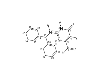 C=C(C)C1=C(C)C(=C)N(C)C(N(C)C(C2=CCCC=C2)C2=CC=CCC2)=N1